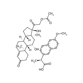 CC(=O)OCC(=O)[C@@]1(O)CC[C@H]2[C@@H]3CCC4=CC(=O)CC[C@]4(C)[C@H]3[C@@H](O)C[C@@]21C.COc1ccc2cc([C@H](C)C(=O)O)ccc2c1